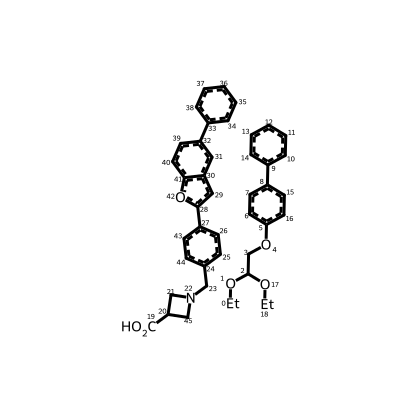 CCOC(COc1ccc(-c2ccccc2)cc1)OCC.O=C(O)C1CN(Cc2ccc(-c3cc4cc(-c5ccccc5)ccc4o3)cc2)C1